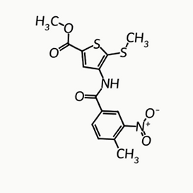 COC(=O)c1cc(NC(=O)c2ccc(C)c([N+](=O)[O-])c2)c(SC)s1